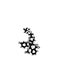 CC(C)(O[Si](C)(C)C(C)(C)C)c1ncc(C23CC(OC(F)F)(c4ccccc4C(=O)N2)n2c3nc3cc(F)ccc32)cn1